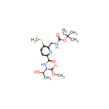 COC(=O)C(NC(=O)c1ccc(SC)c(CNC(=O)OC(C)(C)C)n1)C(C)O